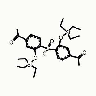 CC[Si](CC)(CC)Oc1cc(C(C)=O)ccc1S(=O)(=O)c1ccc(C(C)=O)cc1O[Si](CC)(CC)CC